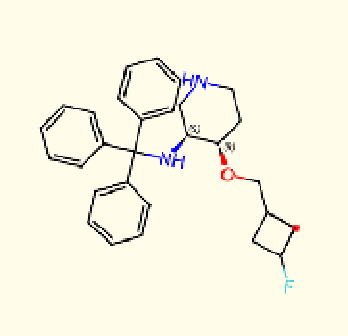 FC12CC(CO[C@@H]3CCNC[C@@H]3NC(c3ccccc3)(c3ccccc3)c3ccccc3)(C1)C2